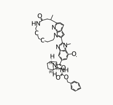 COc1cc(C(=O)N2[C@H]3CC[C@@H]2[C@H](NC(=O)OCc2ccccc2)C3)cc2nc(-c3cc4ccc5nc4n3CCCCCCNC(=O)CC5C)n(C)c12